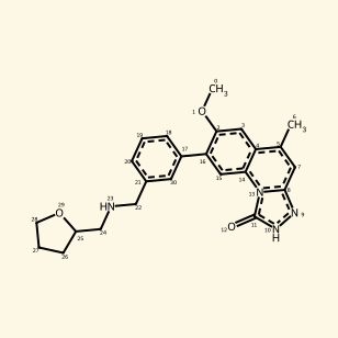 COc1cc2c(C)cc3n[nH]c(=O)n3c2cc1-c1cccc(CNCC2CCCO2)c1